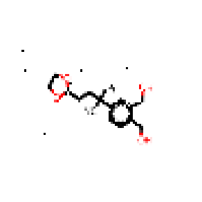 CC(C)C(C#N)(CCC1OCCO1)c1ccc(CO)c(CO)c1